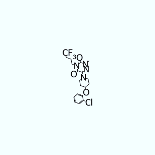 Cn1nc(N2CCC(Oc3ccccc3Cl)CC2)c(=O)n(CCCC(F)(F)F)c1=O